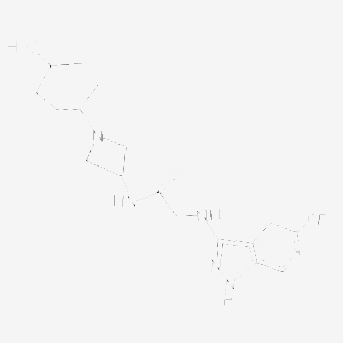 CC1CCC(N2CC(NC(=O)CNc3n[nH]c4ccc(C(F)(F)F)cc34)C2)CC1